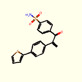 C=C(C(=O)c1ccc(S(N)(=O)=O)cc1)c1ccc(-c2cccs2)cc1